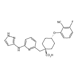 N#Cc1c(F)cccc1O[C@H]1CC[C@](Cc2cccc(Nc3cc[nH]n3)n2)(C(=O)O)CC1